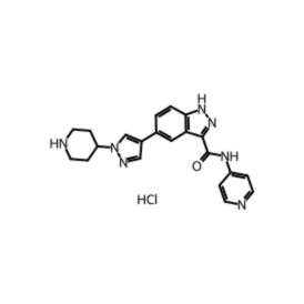 Cl.O=C(Nc1ccncc1)c1n[nH]c2ccc(-c3cnn(C4CCNCC4)c3)cc12